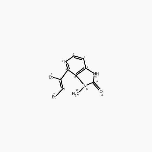 CCC=C(CC)c1nccc2[nH]c(=O)n(C)c12